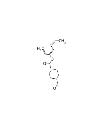 C=C/C(=C\C=C/C)OC(=O)C1CCC(C=O)CC1